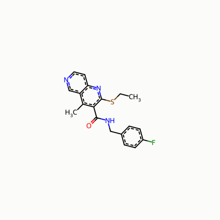 CCSc1nc2ccncc2c(C)c1C(=O)NCc1ccc(F)cc1